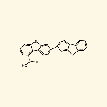 OB(O)c1cccc2sc3cc(-c4ccc5c(c4)sc4ccccc45)ccc3c12